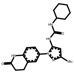 CC(C)(C)c1cc(NC(=O)NC2CCCCC2)n(-c2ccc3c(c2)CCC(=O)N3)n1